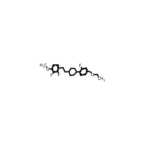 CCOCc1ccc(C2CCC(CCc3ccc(OC)c(F)c3F)CC2)c(F)c1